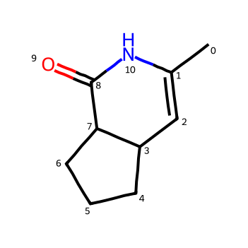 CC1=CC2CCCC2C(=O)N1